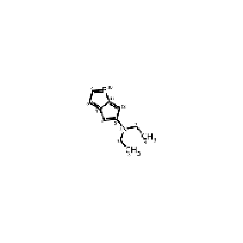 CCN(CC)C1=CC2=CC=PC2=C1